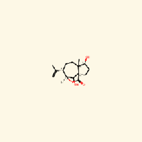 C=C(C)[C@H]1CC[C@]2(C)[C@@H](O)CC[C@@]23C(=O)O[C@@H]1C3O